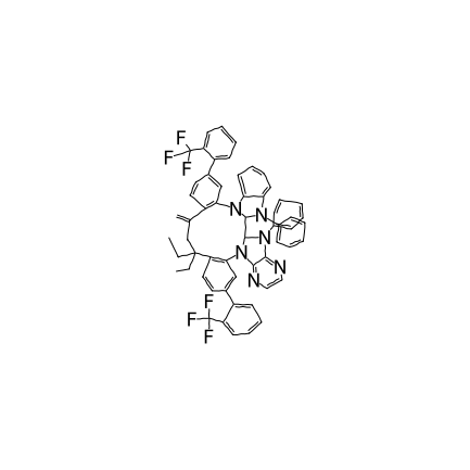 C=C1CC(CC)(CC)c2ccc(-c3ccccc3C(F)(F)F)cc2N2c3nccnc3N(c3ccccc3)C2C2N(c3ccccc3)c3ccccc3N2c2cc(-c3ccccc3C(F)(F)F)ccc21